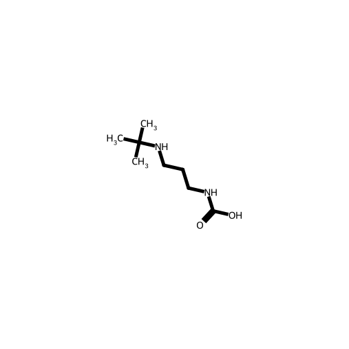 CC(C)(C)NCCCNC(=O)O